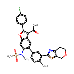 CNC(=O)c1c(-c2ccc(F)cc2)oc2cc(N(C)S(C)(=O)=O)c(-c3ccc(OC)c(-c4nc5c(s4)COCC5)c3)cc12